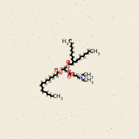 CCCCC/C=C\C/C=C\CCCCCCCC(=O)OCC(COC(=O)C=C(CCCCCCCCC)CCCCCCCCC)COC(=O)OCCCN(CC)CC